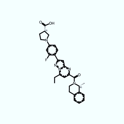 CCc1cc(C(=O)N2CCc3ccccc3[C@H]2C)nc2cc(-c3ccc(N4CC[C@H](C(=O)O)C4)cc3F)nn12